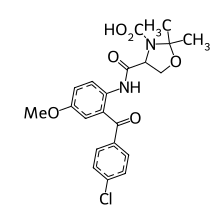 COc1ccc(NC(=O)C2COC(C)(C)N2C(=O)O)c(C(=O)c2ccc(Cl)cc2)c1